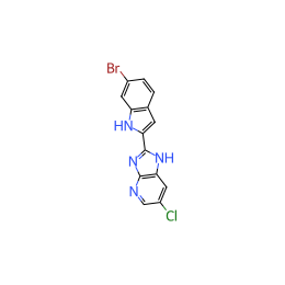 Clc1cnc2nc(-c3cc4ccc(Br)cc4[nH]3)[nH]c2c1